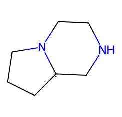 C1C[C]2CNCCN2C1